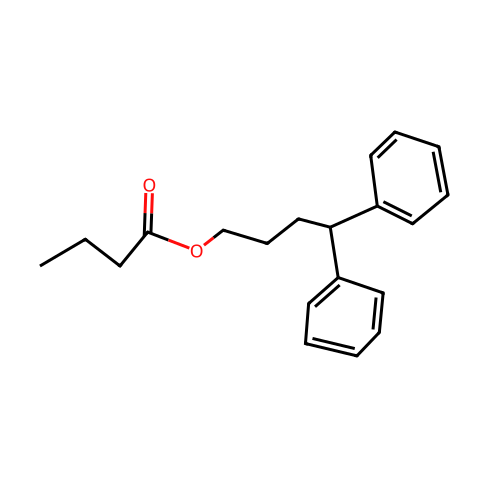 CCCC(=O)OCCCC(c1ccccc1)c1ccccc1